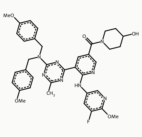 COc1ccc(CN(Cc2ccc(OC)cc2)c2nc(C)nc(-c3cc(C(=O)N4CCC(O)CC4)cnc3Nc3cnc(OC)c(F)c3)n2)cc1